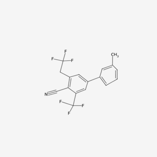 Cc1cccc(-c2cc(CC(F)(F)F)c(C#N)c(C(F)(F)F)c2)c1